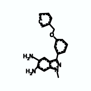 Cn1nc(-c2cccc(OCc3ccccc3)c2)c2cc(N)c(N)cc21